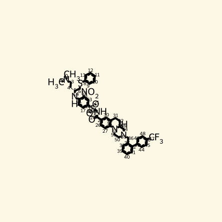 CN(C)CC[C@H](CSc1ccccc1)Nc1ccc(S(=O)(=O)NC(=O)c2ccc3c(c2)CC[C@H]2CN(Cc4ccccc4-c4ccc(C(F)(F)F)cc4)CCN32)cc1[N+](=O)[O-]